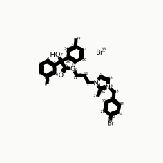 Cc1cccc(C(O)(C(=O)OCCCn2cc[n+](Cc3ccc(Br)cc3)c2C)c2cccc(C)c2)c1.[Br-]